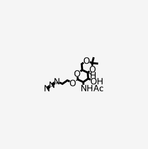 CC(=O)NC1C(O)[C@@H]2OC(C)(C)OCC2O[C@H]1OCCN=[N+]=[N-]